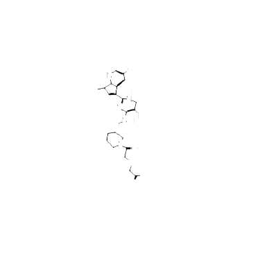 CC1C=C(C2=NC(NC[C@H]3CCCN(C(=O)COCC(=O)P)C3)=C(F)CN2)C2=CC(Cl)=CNC21